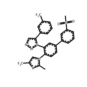 Cc1nc(C(F)(F)F)cn1-c1ccc(-c2cccc(S(C)(=O)=O)c2)cc1-n1nncc1-c1cccc(C(F)(F)F)c1